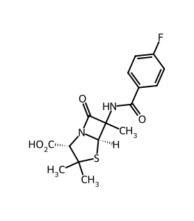 CC1(C)S[C@H]2N(C(=O)C2(C)NC(=O)c2ccc(F)cc2)[C@H]1C(=O)O